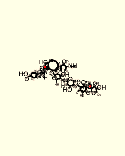 CCN[C@H]1CO[C@@H](O[C@H]2[C@H](O[C@H]3C#C/C=C\C#C[C@]4(O)CC(=O)C(NC(=O)OC)=C3/C4=C\CSSc3ccc(C(=O)O)cc3)O[C@H](C)[C@@H](NO[C@H]3C[C@H](O)[C@H](SC(=O)c4c(C)c(I)c(O[C@@H]5O[C@@H](C)[C@H](O)[C@@H](OC)[C@H]5O)c(OC)c4OC)[C@@H](C)O3)[C@@H]2O)C[C@@H]1OC